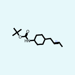 C/C=C/CC1CCC(NC(=O)OC(C)(C)C)CC1